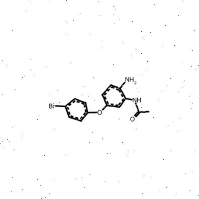 CC(=O)Nc1cc(Oc2ccc(Br)cc2)ccc1N